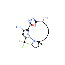 Nc1cc(C(F)(F)F)c2nc1-c1nnc(o1)C(O)CCCCC[C@@H]1CCCN21